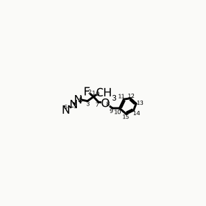 CC(F)(CN=[N+]=[N-])COCc1ccccc1